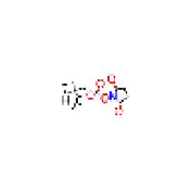 CC1(COC(=O)ON2C(=O)CCC2=O)CCC1